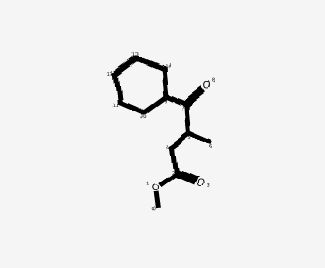 COC(=O)CC(C)C(=O)C1CCCCC1